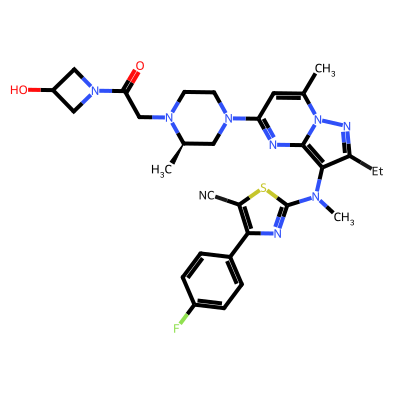 CCc1nn2c(C)cc(N3CCN(CC(=O)N4CC(O)C4)[C@H](C)C3)nc2c1N(C)c1nc(-c2ccc(F)cc2)c(C#N)s1